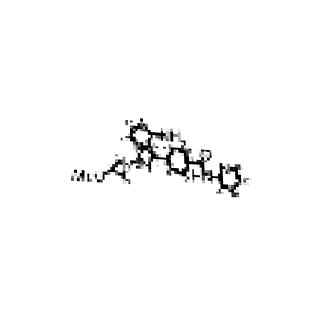 COC1CN(c2nc(-c3ccc(C(=O)Nc4ccccn4)cc3)c3c(N)nccn23)C1